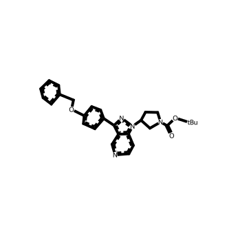 CC(C)(C)OC(=O)N1CCC(n2nc(-c3ccc(OCc4ccccc4)cc3)c3cnccc32)C1